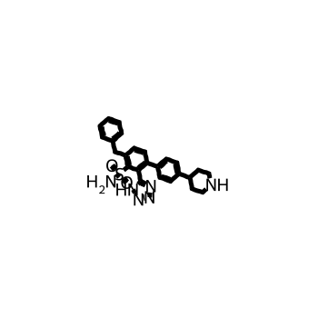 NS(=O)(=O)c1c(Cc2ccccc2)ccc(-c2ccc(C3CCNCC3)cc2)c1-c1nnn[nH]1